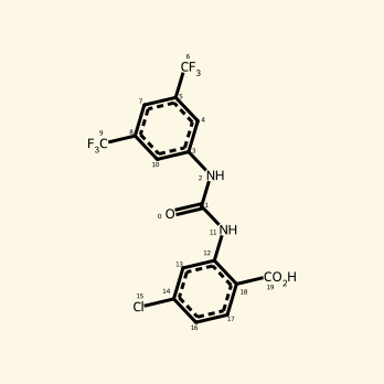 O=C(Nc1cc(C(F)(F)F)cc(C(F)(F)F)c1)Nc1cc(Cl)ccc1C(=O)O